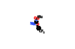 CC(C)(C)OC(=O)N1C[C@H](N=[N+]=[N-])[C@@H](OCc2ccc(C(F)(F)F)cc2)C1